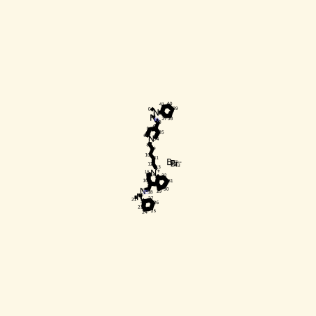 CN(/N=C/c1cc[n+](CCCCCC[n+]2ccc(/C=N/N(C)c3ccccc3)c3ccccc32)cc1)c1ccccc1.[Br-].[Br-]